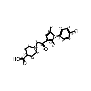 Cc1cc(C(=O)CN2CCC(C(=O)O)CC2)c(C)n1-c1ccc(Cl)cc1